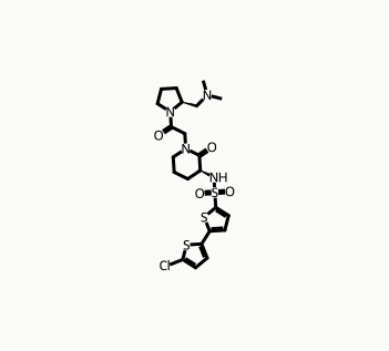 CN(C)C[C@@H]1CCCN1C(=O)CN1CCC[C@H](NS(=O)(=O)c2ccc(-c3ccc(Cl)s3)s2)C1=O